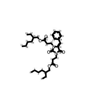 CCCCC(CC)COC(=O)CCN1C(=O)C(=Cc2ccccc2)N(CCC(=O)OCC(CC)CCCC)C1=O